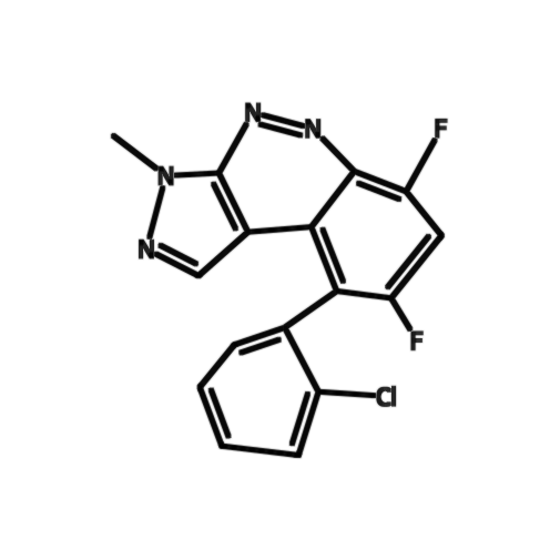 Cn1ncc2c3c(-c4ccccc4Cl)c(F)cc(F)c3nnc21